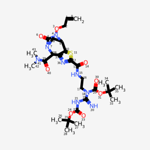 C=CCON1C(=O)N2CC1c1sc(C(=O)NCCN(C(=N)NC(=O)OC(C)(C)C)C(=O)OC(C)(C)C)nc1C2C(=O)N(C)C